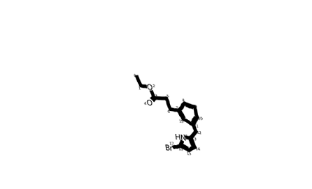 CCOC(=O)CCc1cccc(Cc2ccc(Br)[nH]2)c1